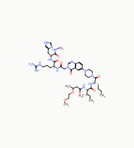 CCCC[C@H](NC(=O)[C@@H](NC(=O)CC(C)OCCOC)[C@@H](C)CC)C(=O)N1CCN(c2ccc3ncn(CC(=O)N[C@@H](CCCNC(=N)N)C(=O)N[C@@H](Cc4c[nH]cn4)C(=O)NC)c(=O)c3c2)CC1